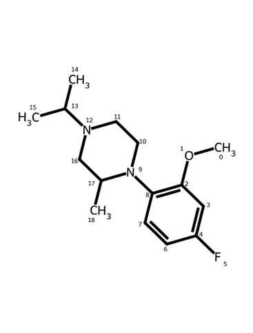 COc1cc(F)ccc1N1CCN(C(C)C)CC1C